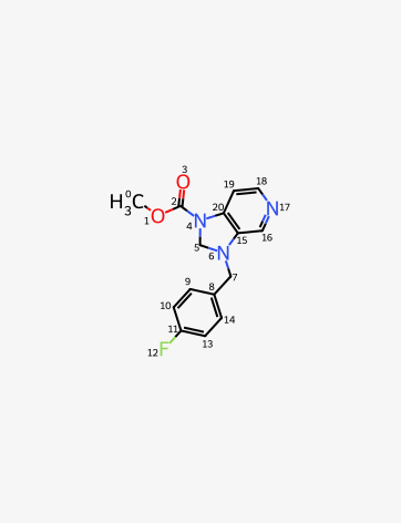 COC(=O)N1CN(Cc2ccc(F)cc2)c2cnccc21